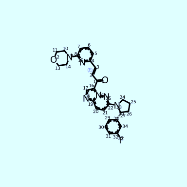 O=C(/C=C/c1cccc(N2CCOCC2)n1)c1cnc2ccc(N3CCC[C@@H]3c3cccc(F)c3)nn12